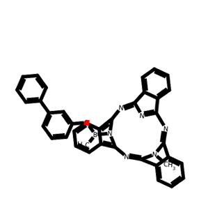 CB(Oc1cccc(-c2ccccc2)c1)n1c2nc3nc(nc4c5ccccc5c(nc1c1ccccc12)n4C)-c1ccccc1-3